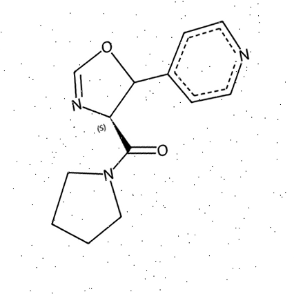 O=C([C@H]1N=COC1c1ccncc1)N1CCCC1